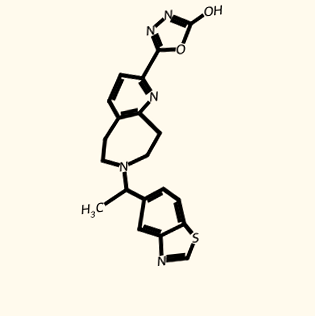 CC(c1ccc2scnc2c1)N1CCc2ccc(-c3nnc(O)o3)nc2CC1